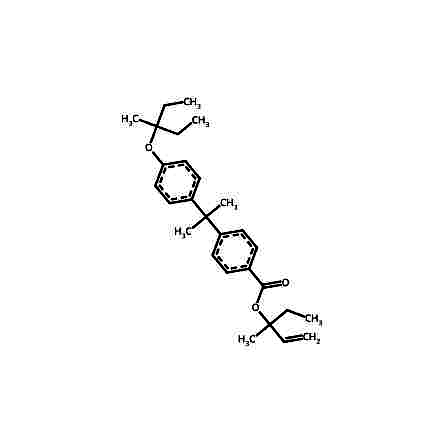 C=CC(C)(CC)OC(=O)c1ccc(C(C)(C)c2ccc(OC(C)(CC)CC)cc2)cc1